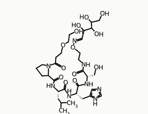 CC(C)C[C@H](NC(=O)C1CCCN1C(=O)CCOCCO)C(=O)N[C@@H](Cc1cnc[nH]1)C(=O)N[C@@H](CO)C(=O)NCCO/N=C/C(O)C(O)C(O)CO